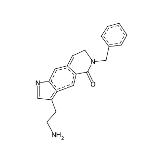 NCCC1=c2cc3c(cc2N=C1)=CCN(Cc1ccccc1)C3=O